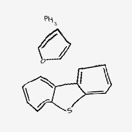 P.c1ccc2c(c1)sc1ccccc12.c1ccoc1